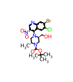 C[C@@H]1CN(c2c([N+](=O)[O-])cnc3cc(Br)c(Cl)cc23)[C@@H](CO)CN1C(=O)OC(C)(C)C